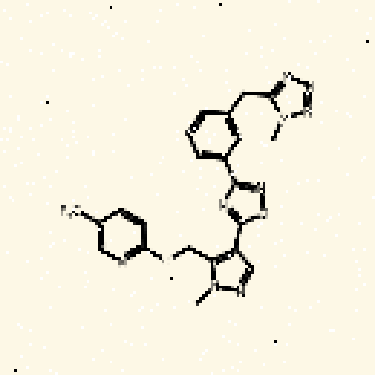 Cn1nnnc1Cc1cccc(-c2noc(-c3cnn(C)c3COc3ccc(C(F)(F)F)cn3)n2)c1